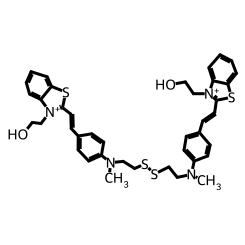 CN(CCSSCCN(C)c1ccc(/C=C/c2sc3ccccc3[n+]2CCO)cc1)c1ccc(/C=C/c2sc3ccccc3[n+]2CCO)cc1